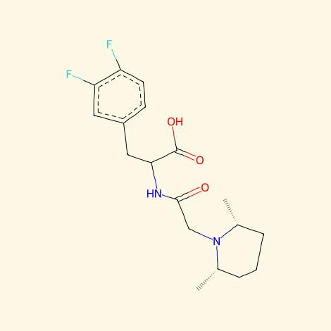 C[C@@H]1CCC[C@H](C)N1CC(=O)NC(Cc1ccc(F)c(F)c1)C(=O)O